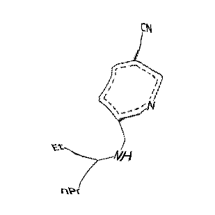 CCCC(CC)Nc1ccc(C#N)cn1